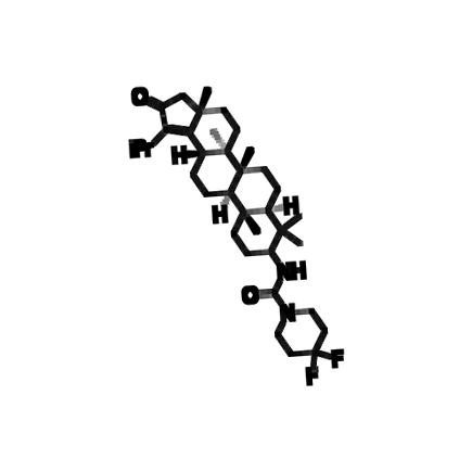 CC(C)C1=C2[C@H]3CC[C@@H]4[C@@]5(C)CCC(NC(=O)N6CCC(F)(F)CC6)C(C)(C)[C@@H]5CC[C@@]4(C)[C@]3(C)CC[C@@]2(C)CC1=O